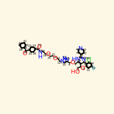 O=C(CO)C1=C(COCc2cn(CCOCCOCCNC(=O)c3ccc(C(=O)c4ccccc4)cc3)nn2)NC(c2ccncc2)=NC1c1ccc(F)cc1Cl